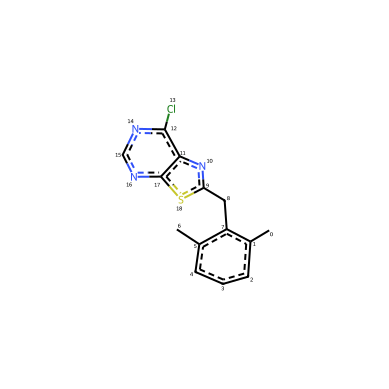 Cc1cccc(C)c1Cc1nc2c(Cl)ncnc2s1